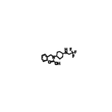 O=C(O)N(Cc1ccccc1)C1CCC(NCC(F)(F)F)CC1